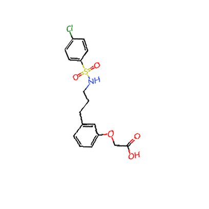 O=C(O)COc1cccc(CCCNS(=O)(=O)c2ccc(Cl)cc2)c1